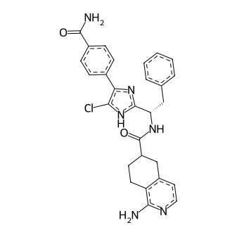 NC(=O)c1ccc(-c2nc([C@H](Cc3ccccc3)NC(=O)C3CCc4c(ccnc4N)C3)[nH]c2Cl)cc1